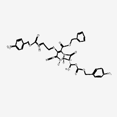 CC(OC(=O)OCc1ccc([N+](=O)[O-])cc1)[C@H]1C(=O)N2C(C(=O)OCc3ccccc3)=C(SCCNC(=O)OCc3ccc([N+](=O)[O-])cc3)C(=[N+]=[N-])[S@+]([O-])[C@@H]12